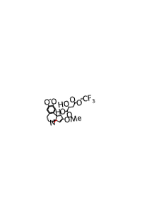 COC1=CC23CCCN2CCc2cc4c(cc2[C@@H]3C1OC(=O)[C@H](O)CC(=O)OCC(F)(F)F)OCO4